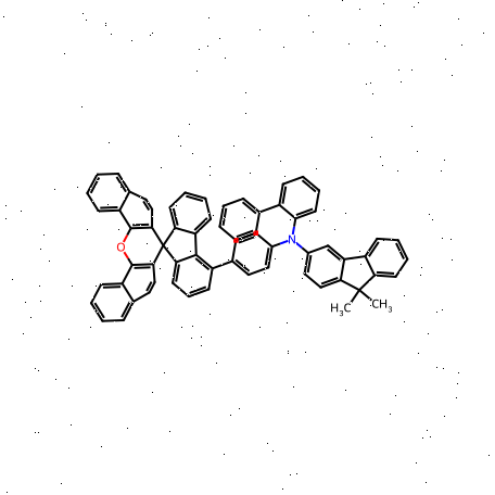 CC1(C)c2ccccc2-c2cc(N(c3ccc(-c4cccc5c4-c4ccccc4C54c5ccc6ccccc6c5Oc5c4ccc4ccccc54)cc3)c3ccccc3-c3ccccc3)ccc21